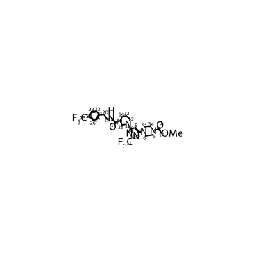 COCC(=O)N1CCN(c2cc(N3CCC[C@@H](C(=O)NCCc4ccc(C(F)(F)F)cc4)C3)nc(C(F)(F)F)n2)CC1